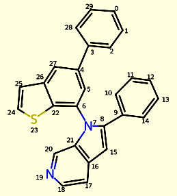 c1ccc(-c2cc(-n3c(-c4ccccc4)cc4ccncc43)c3sccc3c2)cc1